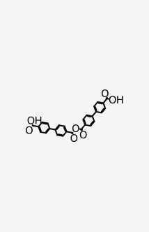 O=C(O)c1ccc(-c2ccc(C(=O)OC(=O)c3ccc(-c4ccc(C(=O)O)cc4)cc3)cc2)cc1